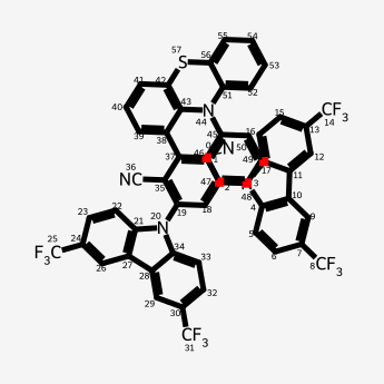 N#Cc1c(-n2c3ccc(C(F)(F)F)cc3c3cc(C(F)(F)F)ccc32)cc(-n2c3ccc(C(F)(F)F)cc3c3cc(C(F)(F)F)ccc32)c(C#N)c1-c1cccc2c1N(c1ccccc1)c1ccccc1S2